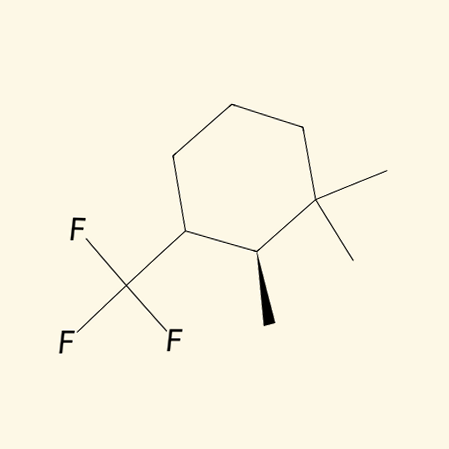 C[C@H]1C(C(F)(F)F)CCCC1(C)C